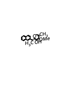 CO[C@@H]1[C@@H](O)[C@H](C(C)c2ccc3ccccc3c2)OC[C@@H]1C